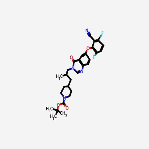 CC(CC1CCN(C(=O)OC(C)(C)C)CC1)Cn1cnc2ccc(Oc3c(F)ccc(F)c3C#N)cc2c1=O